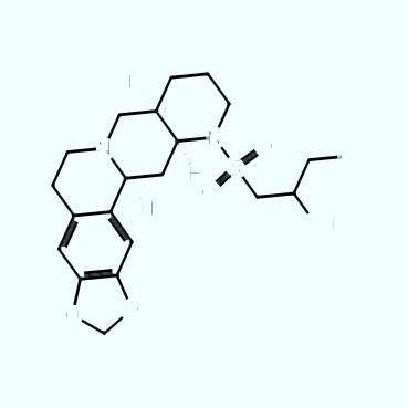 CC(CCl)CS(=O)(=O)N1CCC[C@@H]2CN3CCc4cc5c(cc4[C@@H]3C[C@@H]21)OCO5